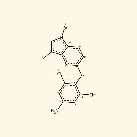 CC(=O)n1cc(C)c2cc(Cc3c(Cl)cc(N)cc3Cl)ccc21